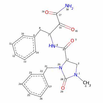 CN1CC(C(=O)NC(Cc2ccccc2)C(=O)C(N)=O)N(Cc2ccccc2)C1=O